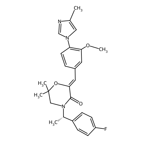 COc1cc(C=C2OC(C)(C)CN([C@@H](C)c3ccc(F)cc3)C2=O)ccc1-n1cnc(C)c1